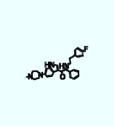 CN1CCN(c2ccc3c(C(=O)[C@@H](NCCc4ccc(F)cc4)c4ccccc4)c[nH]c3c2)CC1